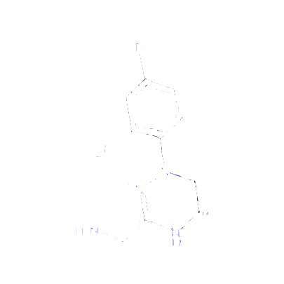 NCC1=NN(c2ccc(F)cc2F)CCN1